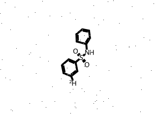 [2H]c1cccc(S(=O)(=O)Nc2ccccc2)c1